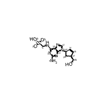 Nc1nc(NCS(=O)(=O)O)c2ncn(C3C=CC(CO)C3)c2n1